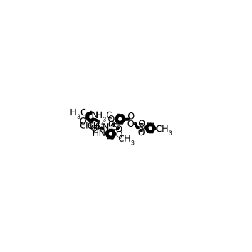 COc1ccc(C(=O)OCCS(=O)(=O)c2ccc(C)cc2)cc1S(=O)(=O)c1c(OC)ccc2[nH]c([S+]([O-])Cc3ncc(C)c(OC)c3C)nc12